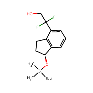 CC(C)(C)[Si](C)(C)O[C@H]1CCc2c1cccc2C(F)(F)CO